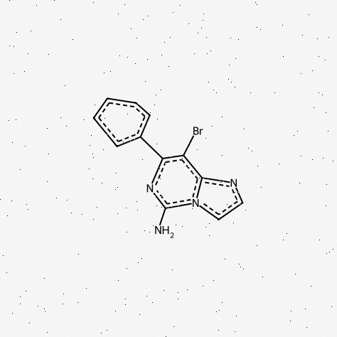 Nc1nc(-c2ccccc2)c(Br)c2nccn12